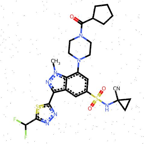 Cn1nc(-c2nnc(C(F)F)s2)c2cc(S(=O)(=O)NC3(C#N)CC3)cc(N3CCN(C(=O)C4CCCC4)CC3)c21